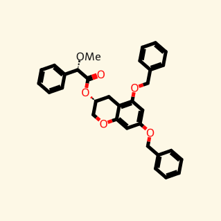 CO[C@H](C(=O)O[C@H]1COc2cc(OCc3ccccc3)cc(OCc3ccccc3)c2C1)c1ccccc1